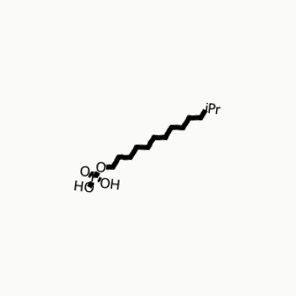 CC(C)CCCCCCCCCCCOP(=O)(O)O